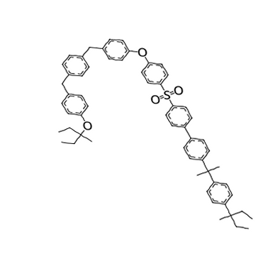 CCC(C)(CC)Oc1ccc(Cc2ccc(Cc3ccc(Oc4ccc(S(=O)(=O)c5ccc(-c6ccc(C(C)(C)c7ccc(C(C)(CC)CC)cc7)cc6)cc5)cc4)cc3)cc2)cc1